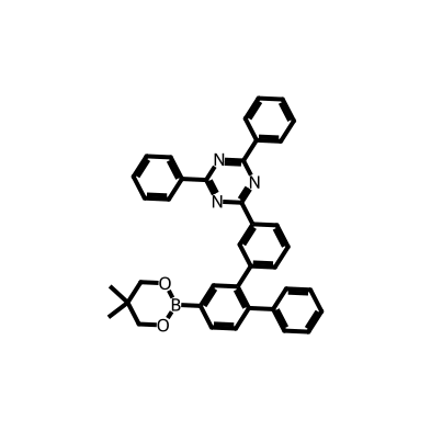 CC1(C)COB(c2ccc(-c3ccccc3)c(-c3cccc(-c4nc(-c5ccccc5)nc(-c5ccccc5)n4)c3)c2)OC1